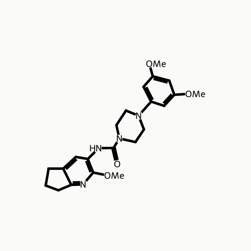 COc1cc(OC)cc(N2CCN(C(=O)Nc3cc4c(nc3OC)CCC4)CC2)c1